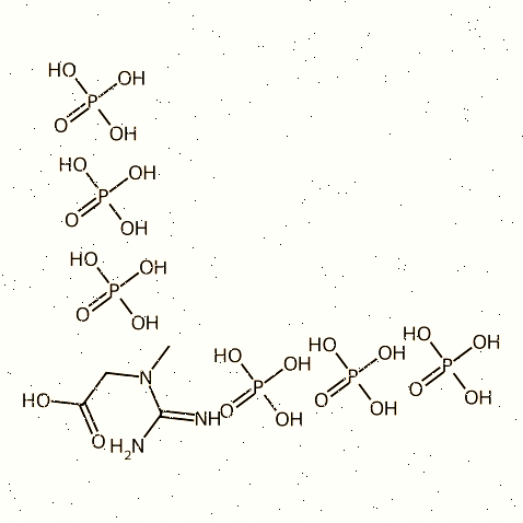 CN(CC(=O)O)C(=N)N.O=P(O)(O)O.O=P(O)(O)O.O=P(O)(O)O.O=P(O)(O)O.O=P(O)(O)O.O=P(O)(O)O